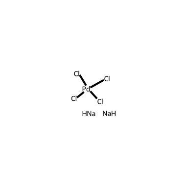 [Cl][Pd]([Cl])([Cl])[Cl].[NaH].[NaH]